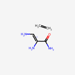 C=C.N/C=C(\N)C(N)=O